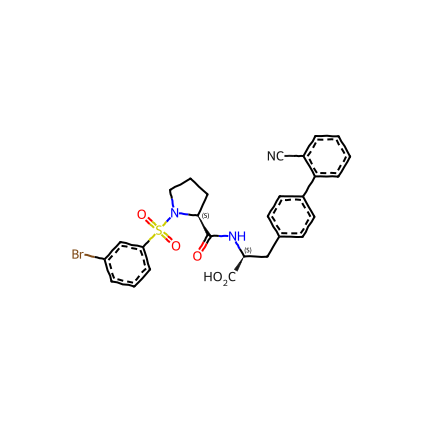 N#Cc1ccccc1-c1ccc(C[C@H](NC(=O)[C@@H]2CCCN2S(=O)(=O)c2cccc(Br)c2)C(=O)O)cc1